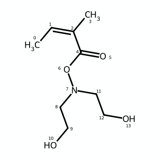 CC=C(C)C(=O)ON(CCO)CCO